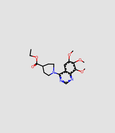 CCOC(=O)C1CCN(c2ncnc3c(OC)c(OC)c(OC)cc23)CC1